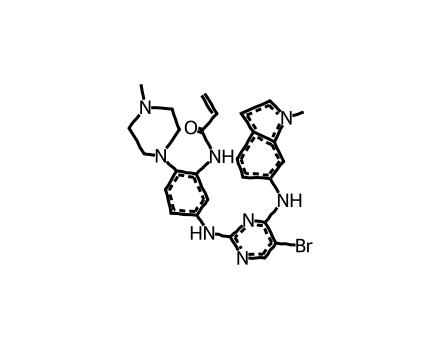 C=CC(=O)Nc1cc(Nc2ncc(Br)c(Nc3ccc4ccn(C)c4c3)n2)ccc1N1CCN(C)CC1